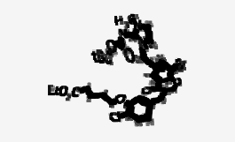 CCOC(=O)CCCCOc1cc(CC2COc3c(Br)cc(Cn4ccn(C)/c4=N/C(=O)OC(C)(C)C)cc3C2=O)ccc1Cl